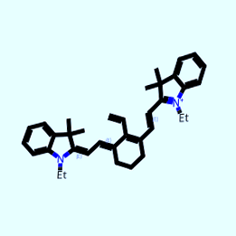 C=CC1=C(/C=C/C2=[N+](CC)c3ccccc3C2(C)C)CCC/C1=C\C=C1\N(CC)c2ccccc2C1(C)C